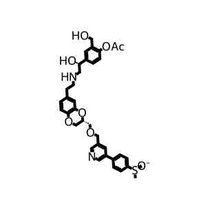 CC(=O)Oc1ccc([C@@H](O)CNCCc2ccc3c(c2)O[C@H](COCc2cncc(-c4ccc([S+](C)[O-])cc4)c2)CO3)cc1CO